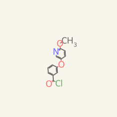 COc1ccc(Oc2cccc(C(=O)Cl)c2)cn1